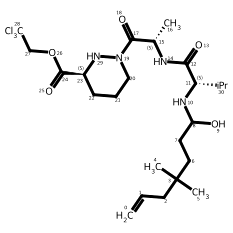 C=CCC(C)(C)CCC(O)N[C@H](C(=O)N[C@@H](C)C(=O)N1CCC[C@@H](C(=O)OCC(Cl)(Cl)Cl)N1)C(C)C